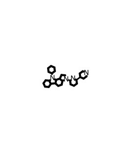 c1ccc(-n2c3ccccc3c3ccc4c(ccn4-c4cccc(-c5ccncc5)n4)c32)cc1